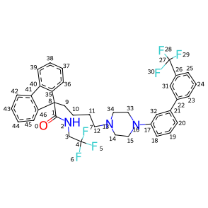 O=C(NCC(F)(F)F)C1(CCCCN2CCN(c3cccc(-c4cccc(C(F)(F)F)c4)c3)CC2)c2ccccc2-c2ccccc21